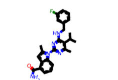 Cc1nc(-n2c(C)cc3c(C(N)=O)cccc32)nc(NCc2cccc(F)c2)c1C(C)C